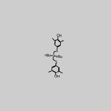 CCCC[Si](CCCC)(CSc1cc(C)c(O)c(C)c1)CSc1cc(C)c(O)c(C)c1